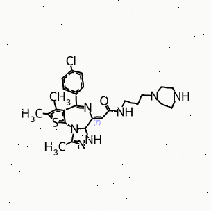 CC1=NNC2/C(=C/C(=O)NCCCN3CCNCC3)N=C(c3ccc(Cl)cc3)c3c(sc(C)c3C)N12